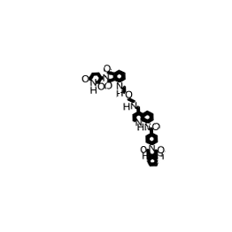 O=C1CCC(N2C(=O)c3cccc(NCCOCCNCc4ccnc5c(NC(=O)c6ccc(N7C(=O)[C@@H]8C9C=CC(C9)[C@@H]8C7=O)cc6)cccc45)c3C2=O)C(=O)N1